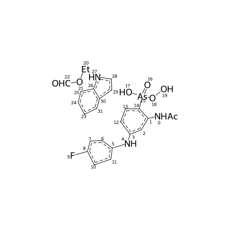 CC(=O)Nc1cc(Nc2ccc(F)cc2)ccc1[As](=O)(O)OO.CCOC=O.c1ccc2[nH]ccc2c1